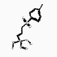 CCO[Si](CCCS(=O)(=O)c1ccc(C)cc1)(OCC)OCC